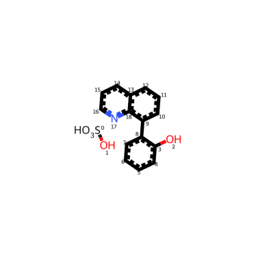 O=S(=O)(O)O.Oc1ccccc1-c1cccc2cccnc12